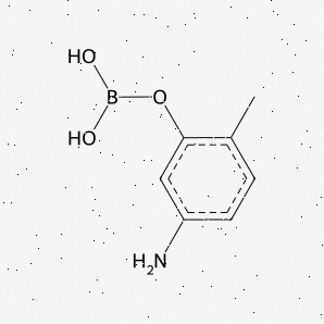 Cc1ccc(N)cc1OB(O)O